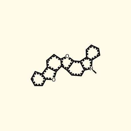 Cn1c2ccccc2c2c3oc4ccc5c6ccccc6oc5c4c3ccc21